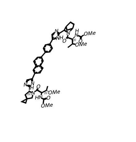 COC(=O)NC(C(=O)N1CC2(CC2)C[C@H]1c1ncc(-c2ccc3cc(-c4ccc(-c5cnc(C6C7CCC(C7)N6C(=O)[C@@H](NC(=O)OC)C(C)OC)[nH]5)cc4)ccc3c2)[nH]1)[C@H](C)OC